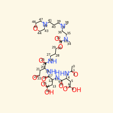 CC(=O)NC(CC(=O)O)C(=O)NC(CC(=O)O)C(=O)NC(CC=O)C(=O)NCCCOC(=O)N(C)CCN(C)CCCN1CCOCC1